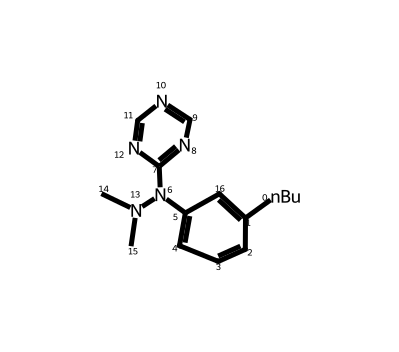 CCCCc1cccc(N(c2ncncn2)N(C)C)c1